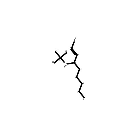 CCCCCC(C=CI)OC(C)(C)C